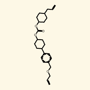 C=CCOCc1ccc(C2CCC(OC(=O)OC3CCC(CC=C)CC3)CC2)cc1